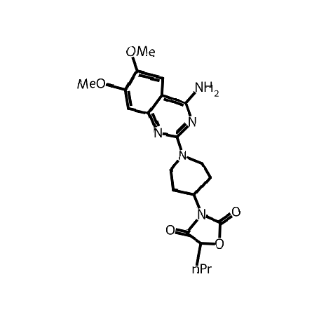 CCCC1OC(=O)N(C2CCN(c3nc(N)c4cc(OC)c(OC)cc4n3)CC2)C1=O